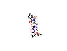 CC(C)Oc1ccccc1N1CCN(CCCN2C(=O)C3CC=CCC3C2=O)C(=O)C1=O